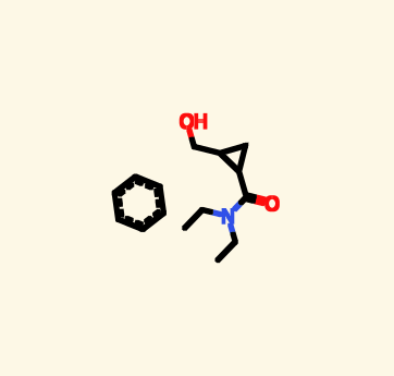 CCN(CC)C(=O)C1CC1CO.c1ccccc1